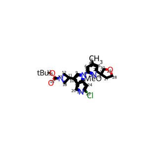 CO[C@@]1(c2cc(C)cc(-n3cc(C4CN(C(=O)OC(C)(C)C)C4)c4cnc(Cl)cc43)n2)CCOC1